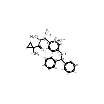 CN(C(=O)C1(N)CC1)[C@@H](c1ccc(NC(c2ccccc2)c2ccccc2)cn1)C(F)(F)F.Cl